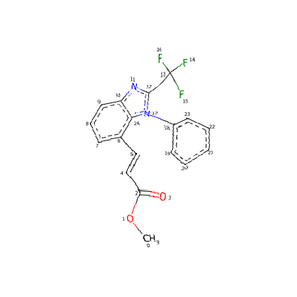 COC(=O)/C=C/c1cccc2nc(C(F)(F)F)n(-c3ccccc3)c12